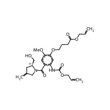 C=CCOC(=O)CCCOc1cc(NC(=O)OCC=C)c(C(=O)N2CC(=C)C[C@H]2CO)cc1OC